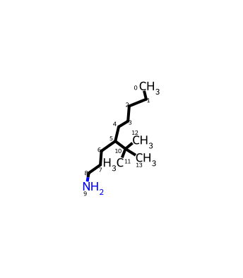 CCCCCC(CCCN)C(C)(C)C